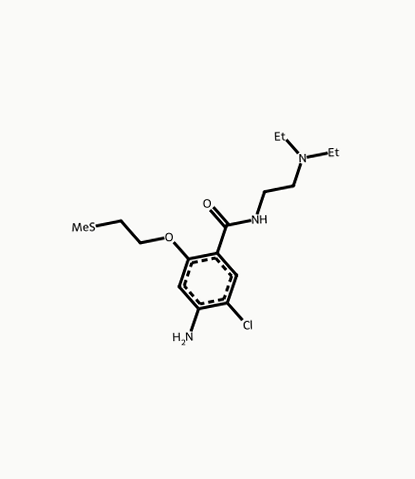 CCN(CC)CCNC(=O)c1cc(Cl)c(N)cc1OCCSC